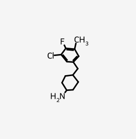 Cc1cc(CC2CCC(N)CC2)cc(Cl)c1F